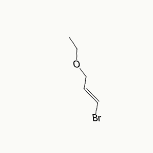 CCOCC=CBr